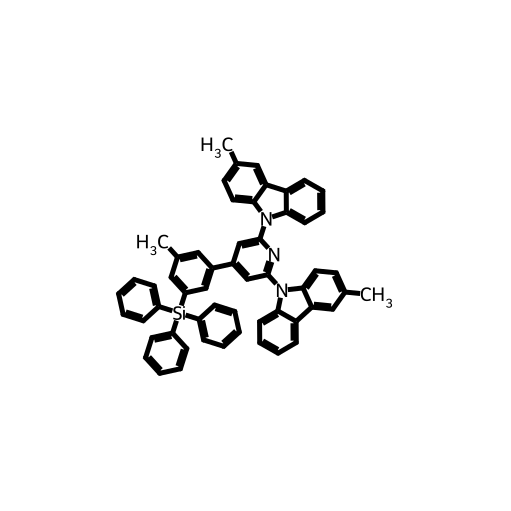 Cc1cc(-c2cc(-n3c4ccccc4c4cc(C)ccc43)nc(-n3c4ccccc4c4cc(C)ccc43)c2)cc([Si](c2ccccc2)(c2ccccc2)c2ccccc2)c1